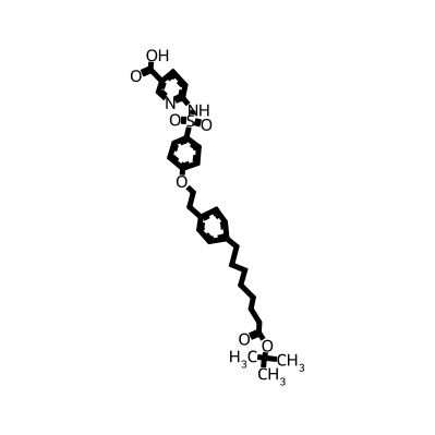 CC(C)(C)OC(=O)CCCCCCCc1ccc(CCOc2ccc(S(=O)(=O)Nc3ccc(C(=O)O)cn3)cc2)cc1